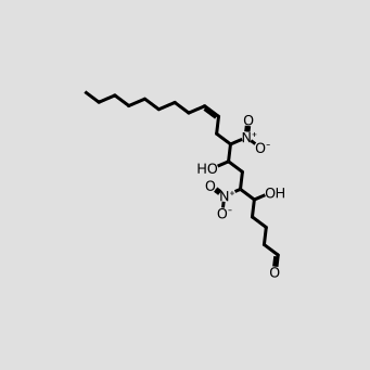 CCCCCCCC/C=C\CC(C(O)CC(C(O)CCCC=O)[N+](=O)[O-])[N+](=O)[O-]